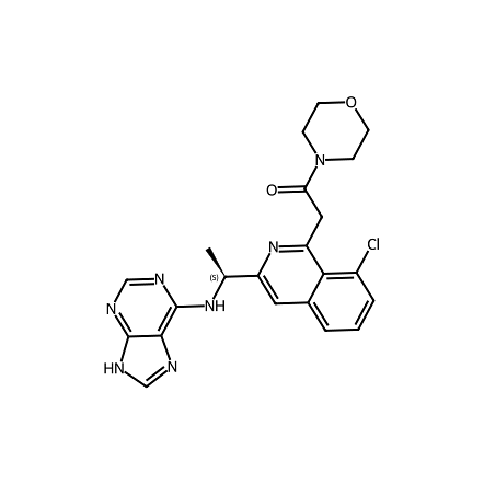 C[C@H](Nc1ncnc2[nH]cnc12)c1cc2cccc(Cl)c2c(CC(=O)N2CCOCC2)n1